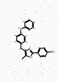 Cc1oc(-c2ccc(Cl)cc2)nc1Cc1ccc(Oc2ccccc2)cc1